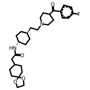 O=C(CC1CCC2(CC1)OCCO2)N[C@H]1CC[C@H](CCN2CCC(C(=O)c3ccc(F)cc3)CC2)CC1